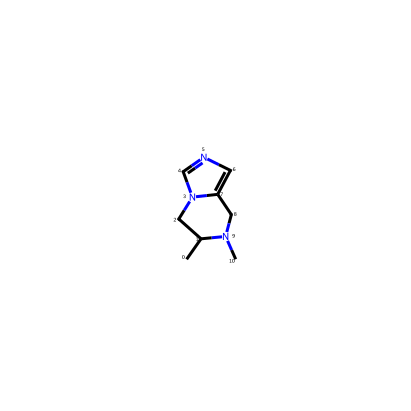 CC1Cn2cncc2CN1C